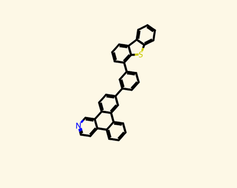 c1cc(-c2ccc3c4cnccc4c4ccccc4c3c2)cc(-c2cccc3c2sc2ccccc23)c1